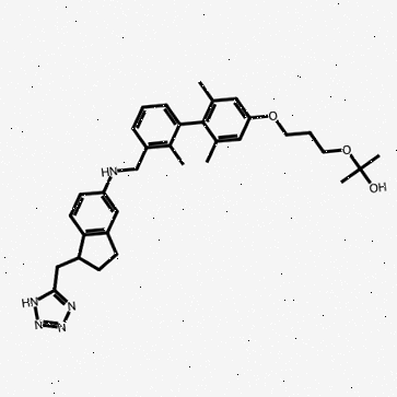 Cc1cc(OCCCOC(C)(C)O)cc(C)c1-c1cccc(CNc2ccc3c(c2)CCC3Cc2nnn[nH]2)c1C